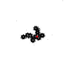 c1ccc(-c2ccc3ccc(-n4c5ccccc5c5ccc(-c6cc7c(cc6-n6c8ccccc8c8ccccc86)oc6ccccc67)cc54)nc3n2)cc1